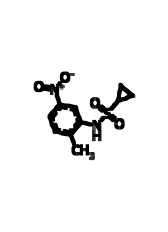 Cc1ccc([N+](=O)[O-])cc1NS(=O)(=O)C1CC1